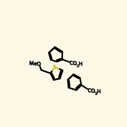 COCc1cccs1.O=C(O)c1ccccc1.O=C(O)c1ccccc1